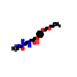 CCCOCCOc1ccc(OCC(O)CNCCNC(=O)NC)cc1